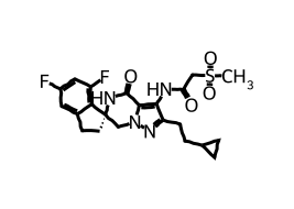 CS(=O)(=O)CC(=O)Nc1c(CCC2CC2)nn2c1C(=O)N[C@@]1(CCc3cc(F)cc(F)c31)C2